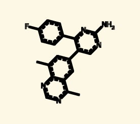 Cc1ncnc2c(C)cc(-c3cnc(N)nc3-c3ccc(F)cc3)cc12